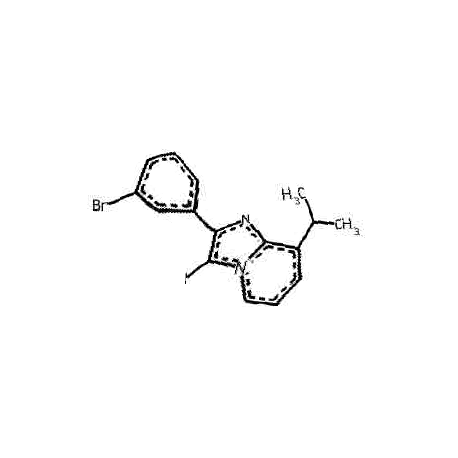 CC(C)c1cccn2c(I)c(-c3cccc(Br)c3)nc12